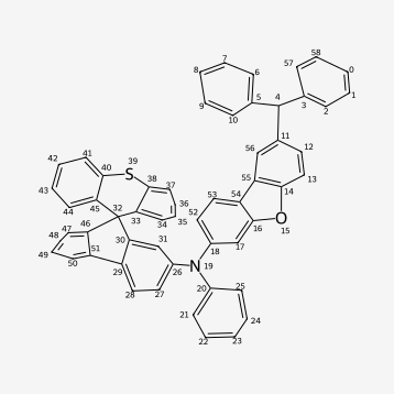 c1ccc(C(c2ccccc2)c2ccc3oc4cc(N(c5ccccc5)c5ccc6c(c5)C5(c7ccccc7Sc7ccccc75)c5ccccc5-6)ccc4c3c2)cc1